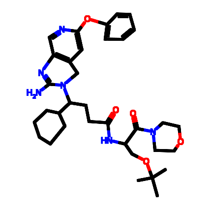 CC(C)(C)OCC(NC(=O)CCC(C1CCCCC1)N1Cc2cc(Oc3ccccc3)ncc2N=C1N)C(=O)N1CCOCC1